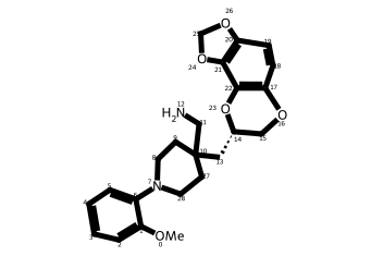 COc1ccccc1N1CCC(CN)(C[C@H]2COc3ccc4c(c3O2)OCO4)CC1